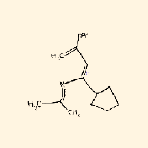 C=C(/C=C(\N=C(C)C)C1CCCC1)CCC